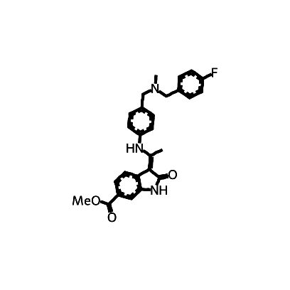 COC(=O)c1ccc2c(c1)NC(=O)C2=C(C)Nc1ccc(CN(C)Cc2ccc(F)cc2)cc1